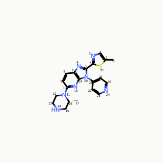 Cc1cnc(-c2nc3ccc(N4CCNC[C@H]4C)nc3n2-c2ccncc2)s1